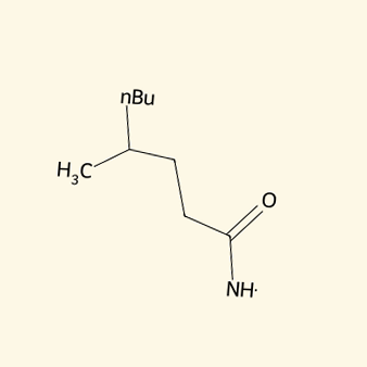 CCCCC(C)CCC([NH])=O